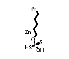 CC(C)CCCCCOP(O)(=S)S.[Zn]